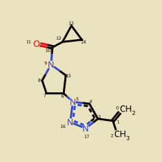 C=C(C)c1cn(C2CCN(C(=O)C3CC3)C2)nn1